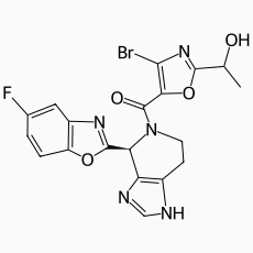 CC(O)c1nc(Br)c(C(=O)N2CCc3[nH]cnc3[C@H]2c2nc3cc(F)ccc3o2)o1